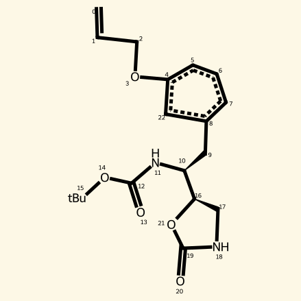 C=CCOc1cccc(C[C@H](NC(=O)OC(C)(C)C)[C@H]2CNC(=O)O2)c1